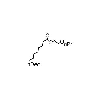 CCCCCCCCCCCCCCCCCC(=O)OCCOCCC